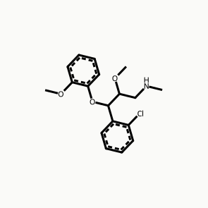 CNCC(OC)C(Oc1ccccc1OC)c1ccccc1Cl